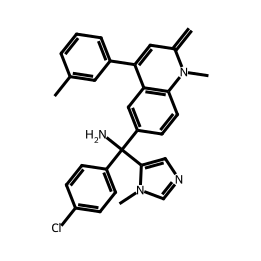 C=C1C=C(c2cccc(C)c2)c2cc(C(N)(c3ccc(Cl)cc3)c3cncn3C)ccc2N1C